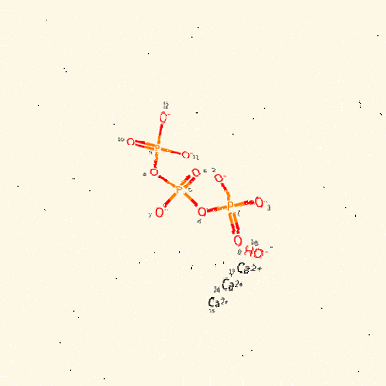 O=P([O-])([O-])OP(=O)([O-])OP(=O)([O-])[O-].[Ca+2].[Ca+2].[Ca+2].[OH-]